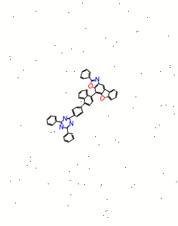 c1ccc(-c2nc(-c3ccccc3)nc(-c3ccc(-c4ccc(-c5c6oc(-c7ccccc7)nc6cc6c5oc5ccccc56)c5ccccc45)cc3)n2)cc1